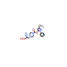 Cc1cc(OC(=O)N2CCN(C[C@H](N)CO)CC2)n(-c2ccccc2)n1